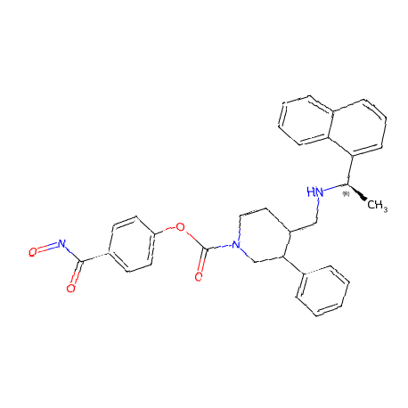 C[C@@H](NCC1CCN(C(=O)Oc2ccc(C(=O)N=O)cc2)CC1c1ccccc1)c1cccc2ccccc12